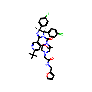 CCOc1cc(C(C)(C)C)ncc1C1=N[C@@](C)(c2ccc(Cl)cc2)[C@@](C)(c2ccc(Cl)cc2)N1C(=O)N1CCN(CC(=O)NCc2ccco2)CC1